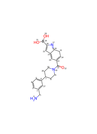 NCc1cccc(C2CCN(C(=O)C3=CCC4=NC(B(O)O)=CC4=C3)CC2)c1